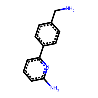 NCc1ccc(-c2cccc(N)n2)cc1